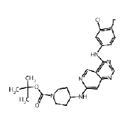 CC(C)(C)OC(=O)N1CCC(Nc2cc3ncnc(Nc4ccc(F)c(Cl)c4)c3cn2)CC1